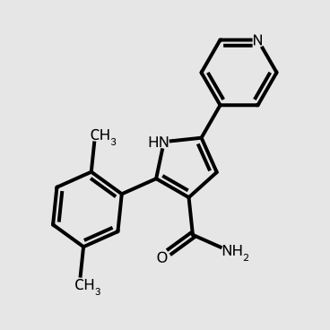 Cc1ccc(C)c(-c2[nH]c(-c3ccncc3)cc2C(N)=O)c1